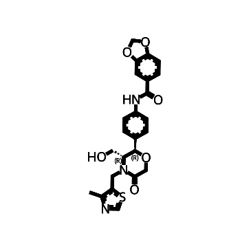 Cc1ncsc1CN1C(=O)CO[C@H](c2ccc(NC(=O)c3ccc4c(c3)OCO4)cc2)[C@H]1CO